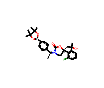 C[C@@H](c1ccc(B2OC(C)(C)C(C)(C)O2)cc1)N1CC[C@](CC(C)(C)O)(c2ccccc2F)OC1=O